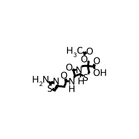 CC(=O)OCC1(C(=O)O)CS[C@@H]2C(NC(=O)Cc3csc(N)n3)C(=O)N2C1